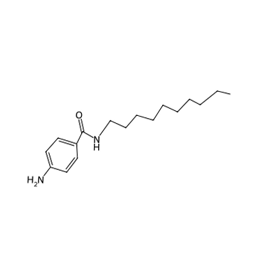 CCCCCCCCCCNC(=O)c1ccc(N)cc1